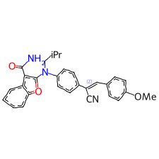 COc1ccc(/C=C(\C#N)c2ccc(N(CC(C)C)c3oc4ccccc4c3C(N)=O)cc2)cc1